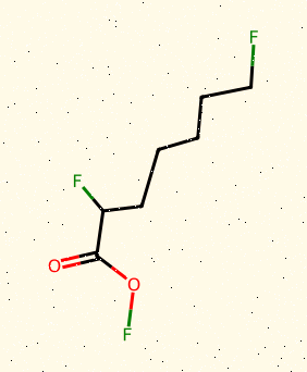 O=C(OF)C(F)CCCCCF